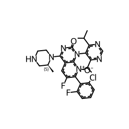 CC(C)c1ncnc(C(C)C)c1-n1c(=O)nc(N2CCNC[C@@H]2C)c2cc(F)c(-c3c(F)cccc3Cl)[n+]([O-])c21